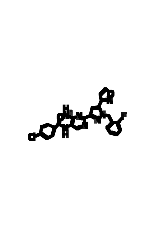 Nc1nc(-c2cc(-c3ccon3)n(Cc3ccccc3F)n2)ncc1NC(=O)c1ccc(Cl)cc1